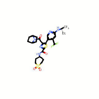 CC[C@H](Nc1cc(C(F)F)c(-c2sc(C(=O)NC3CCS(=O)(=O)CC3)nc2C(=O)N2C3CCC2CC3)cn1)C(F)(F)F